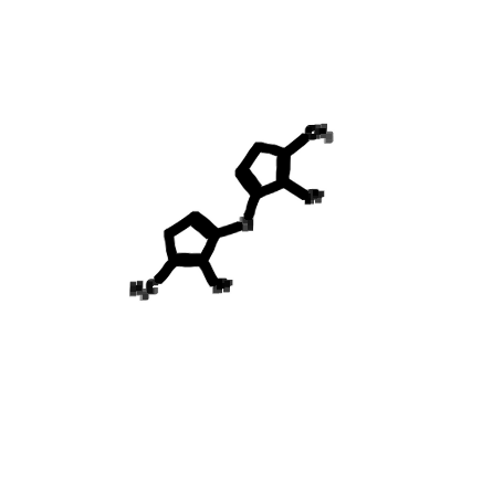 CC1=C(C(C)C)[C]([Ti][C]2=CCC(C)=C2C(C)C)=CC1